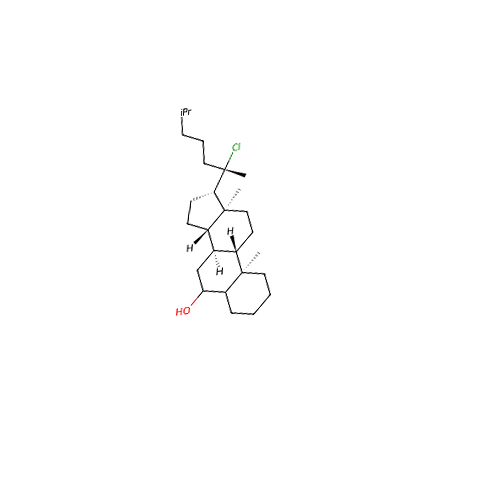 CC(C)CCC[C@](C)(Cl)[C@H]1CC[C@H]2[C@@H]3CC(O)C4CCCC[C@]4(C)[C@H]3CC[C@@]21C